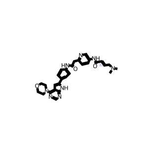 CN(C)C/C=C/C(=O)Nc1ccc(CC(=O)Nc2ccc(-c3cc4c(N5CCOCC5)ncnc4[nH]3)cc2)nc1